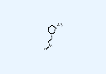 CC(C)NCCN1CCC[C@H](C)C1